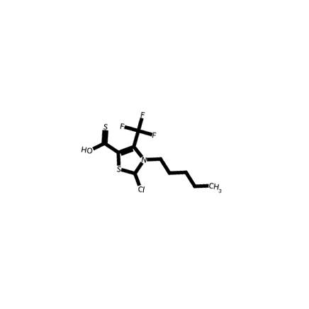 CCCCCN1C(C(F)(F)F)=C(C(O)=S)SC1Cl